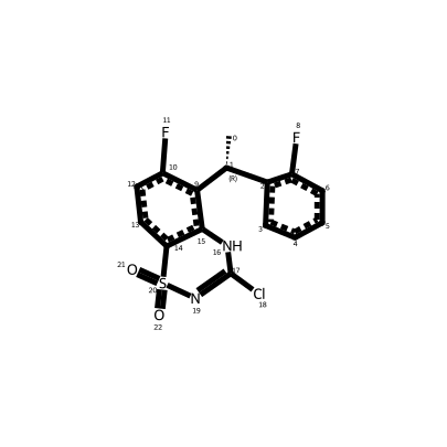 C[C@H](c1ccccc1F)c1c(F)ccc2c1NC(Cl)=NS2(=O)=O